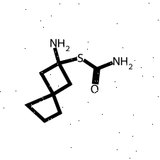 NC(=O)SC1(N)CC2(CCC2)C1